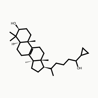 CC(CCCC(O)C1CC1)[C@H]1CC[C@@]2(C)C3=C(CC[C@]12C)[C@@]1(C)CC[C@H](O)C(C)(C)[C@@H]1CC3